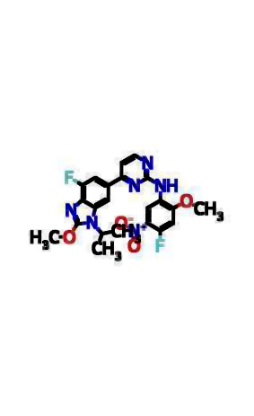 COc1cc(F)c([N+](=O)[O-])cc1Nc1nccc(-c2cc(F)c3nc(OC)n(C(C)C)c3c2)n1